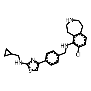 Clc1ccc2c(c1NCc1ccc(-c3csc(NCC4CC4)n3)cc1)CCNCC2